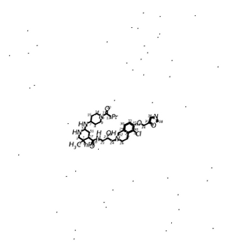 CCCC1(C)CNC(NC2CCN(C(=O)C(C)C)CC2)CC1C(=O)NC[C@H](O)CN1CCc2c(ccc(OCc3cnco3)c2Cl)C1